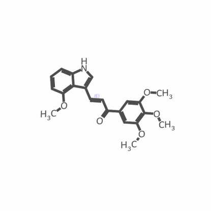 COc1cc(C(=O)/C=C/c2c[nH]c3cccc(OC)c23)cc(OC)c1OC